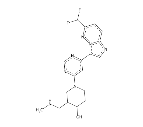 CNCC1CN(c2cc(-c3cnc4ccc(C(F)F)nn34)ncn2)CCC1O